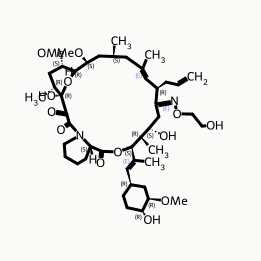 C=CC[C@@H]1/C=C(\C)C[C@H](C)C[C@H](OC)[C@H]2O[C@@](O)(C(=O)C(=O)N3CCCC[C@H]3C(=O)O[C@H](/C(C)=C/[C@@H]3CC[C@@H](O)[C@H](OC)C3)[C@H](C)[C@@H](O)C/C1=N\OCCO)[C@H](C)C[C@@H]2OC